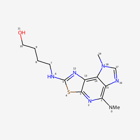 CNc1nc2sc(NCCCCO)nc2c2c1ncn2C